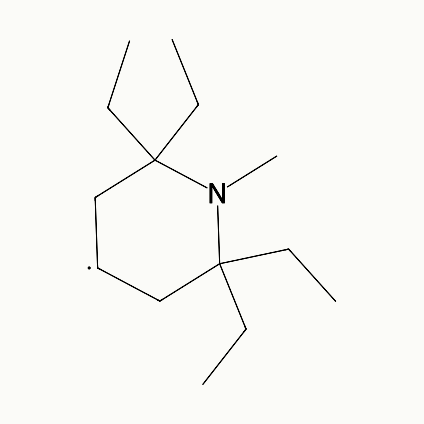 CCC1(CC)C[CH]CC(CC)(CC)N1C